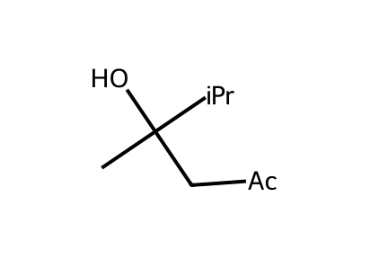 CC(=O)CC(C)(O)C(C)C